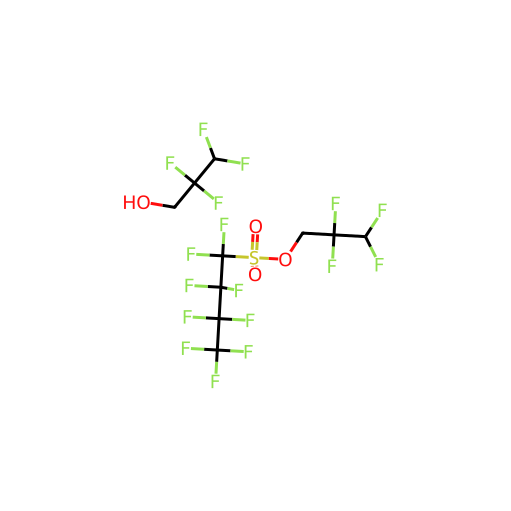 O=S(=O)(OCC(F)(F)C(F)F)C(F)(F)C(F)(F)C(F)(F)C(F)(F)F.OCC(F)(F)C(F)F